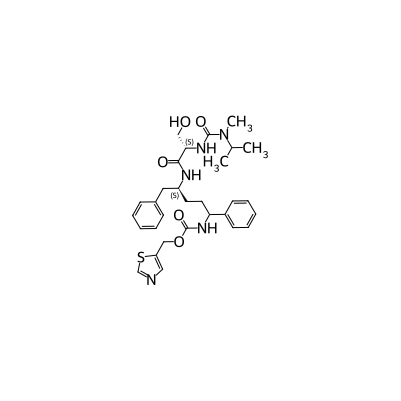 CC(C)N(C)C(=O)N[C@@H](CO)C(=O)N[C@@H](CCC(NC(=O)OCc1cncs1)c1ccccc1)Cc1ccccc1